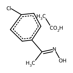 CC(=NO)c1ccc(Cl)cc1.CC(=O)O